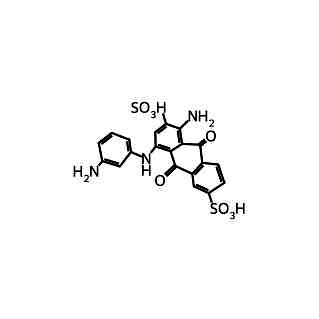 Nc1cccc(Nc2cc(S(=O)(=O)O)c(N)c3c2C(=O)c2cc(S(=O)(=O)O)ccc2C3=O)c1